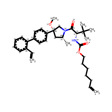 C=CCCCCCOC(=O)N[C@H](C(=O)N1C[C@](OC)(c2ccc(-c3ccccc3C=C)cc2)C[C@H]1C)C(C)(C)C